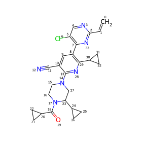 C=Cc1ncc(Cl)c(-c2cc(C#N)c(N3CCN(C(=O)C4CC4)C(C4CC4)C3)nc2C2CC2)n1